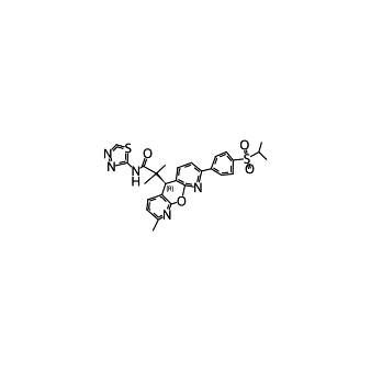 Cc1ccc2c(n1)Oc1nc(-c3ccc(S(=O)(=O)C(C)C)cc3)ccc1[C@@H]2C(C)(C)C(=O)Nc1nncs1